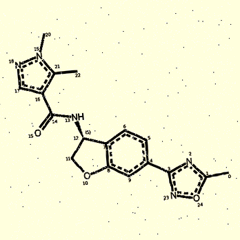 Cc1nc(-c2ccc3c(c2)OC[C@H]3NC(=O)c2cnn(C)c2C)no1